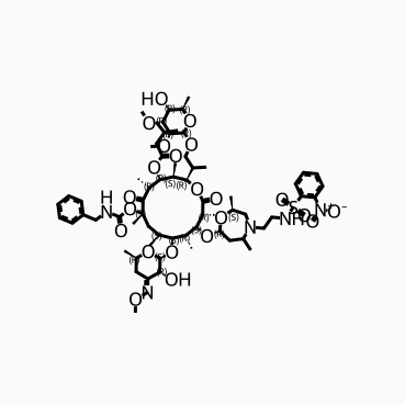 CON=C1C[C@@H](C)O[C@@H](O[C@@H]2[C@@H](C)[C@H](O[C@H]3CC(C)N(CCNS(=O)(=O)c4ccccc4[N+](=O)[O-])C[C@H](C)O3)[C@@H](C)C(=O)O[C@H](C(C)CO[C@@H]3O[C@H](C)[C@@H](O)[C@@H](OC)[C@H]3OC)[C@H](C)[C@@H](OC(=O)CC(C)C)[C@@H](C)C(=O)[C@@](C)(OC(=O)NCc3ccccc3)C[C@@H]2C)[C@@H]1O